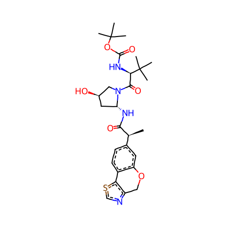 C[C@H](C(=O)N[C@@H]1C[C@@H](O)CN1C(=O)[C@@H](NC(=O)OC(C)(C)C)C(C)(C)C)c1ccc2c(c1)OCc1ncsc1-2